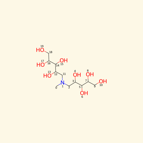 CN(CC(O)C(O)C(O)CO)CC(O)C(O)C(O)CO